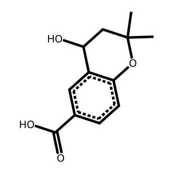 CC1(C)CC(O)c2cc(C(=O)O)ccc2O1